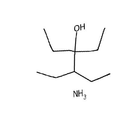 CCC(CC)C(O)(CC)CC.N